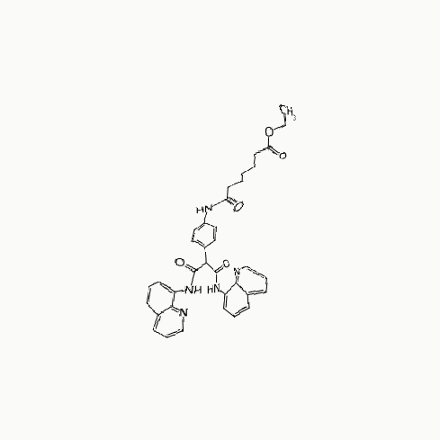 CCOC(=O)CCCCCC(=O)Nc1ccc(C(C(=O)Nc2cccc3cccnc23)C(=O)Nc2cccc3cccnc23)cc1